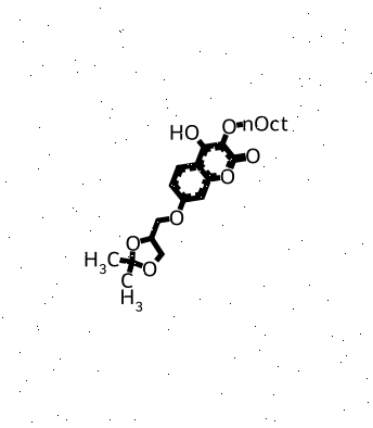 CCCCCCCCOc1c(O)c2ccc(OCC3COC(C)(C)O3)cc2oc1=O